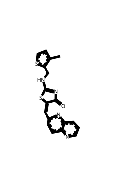 Cc1ccsc1CNC1=NC(=O)C(=Cc2ccc3ncccc3n2)S1